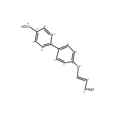 CCCCCCC/C=C/Oc1ccc(-c2ncc(CCCCCCCC)cn2)cc1